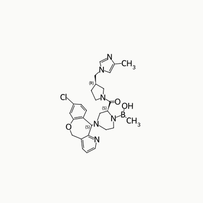 CB(O)N1CCN([C@H]2c3ccc(Cl)cc3OCc3cccnc32)C[C@H]1C(=O)N1CC[C@@H](Cn2cnc(C)c2)C1